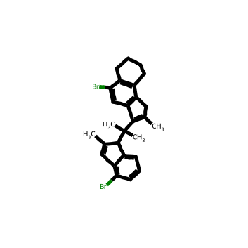 CC1=Cc2c(Br)cccc2C1C(C)(C)C1=C(C)Cc2c1cc(Br)c1c2CCCC1